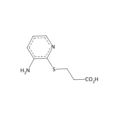 Nc1cccnc1SCCC(=O)O